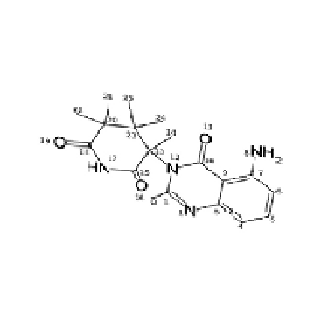 Cc1nc2cccc(N)c2c(=O)n1C1(C)C(=O)NC(=O)C(C)(C)C1(C)C